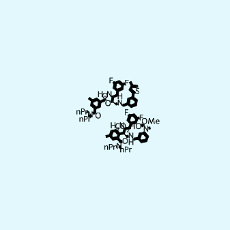 CCCN(CCC)C(=O)c1cc(C)cc(C(=O)O)c1[C@H](CNCc1cccc(N(C)C(=O)OC)c1)[C@@H](N)Cc1cc(F)cc(F)c1.CCCN(CCC)C(=O)c1cc(C)cc(C(=O)O[C@H](CNCc2cccc(-c3cc(C)cs3)c2)[C@@H](N)Cc2cc(F)cc(F)c2)c1